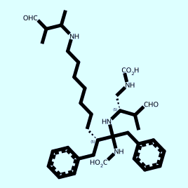 CC(C=O)C(C)NCCCCCCC[C@@H](Cc1ccccc1)C(Cc1ccccc1)(NC(=O)O)N[C@H](CNC(=O)O)C(C)C=O